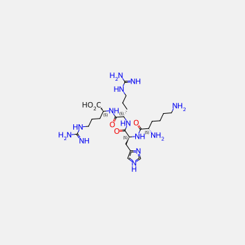 N=C(N)NCCC[C@H](NC(=O)[C@H](CCCNC(=N)N)NC(=O)[C@H](Cc1c[nH]cn1)NC(=O)[C@@H](N)CCCCN)C(=O)O